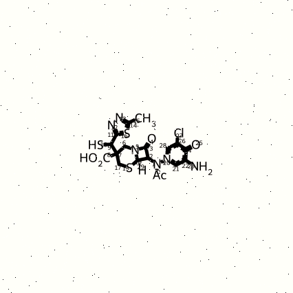 CC(=O)N(C1C(=O)N2CC(C(=O)O)(C(S)c3nnc(C)s3)CS[C@H]12)n1cc(N)c(=O)c(Cl)c1